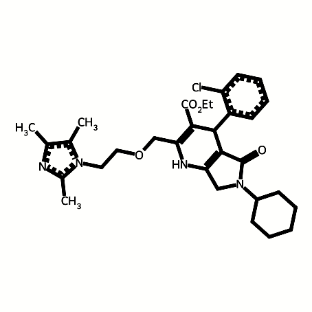 CCOC(=O)C1=C(COCCn2c(C)nc(C)c2C)NC2=C(C(=O)N(C3CCCCC3)C2)C1c1ccccc1Cl